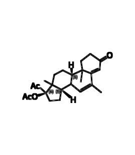 CC(=O)O[C@]1(C(C)=O)CC[C@H]2C3C=C(C)C4=CC(=O)CCC4(C)[C@H]3CCC21C